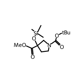 COC(=O)C1(O[Si](C)(C)C)CCN(C(=O)OC(C)(C)C)C1